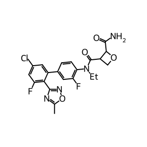 CCN(C(=O)C1COC1C(N)=O)c1ccc(-c2cc(Cl)cc(F)c2-c2noc(C)n2)cc1F